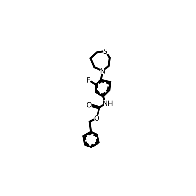 O=C(Nc1ccc(N2CCCSCC2)c(F)c1)OCc1ccccc1